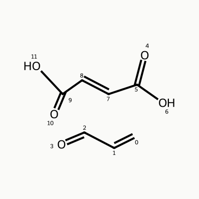 C=CC=O.O=C(O)/C=C/C(=O)O